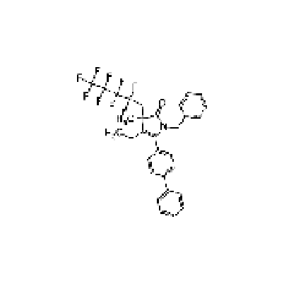 CCC1=C(c2ccc(-c3ccccc3)cc2)N(Cc2ccccc2)C(=O)C1(C)CC(F)(F)C(F)(F)C(F)(F)C(F)(F)F